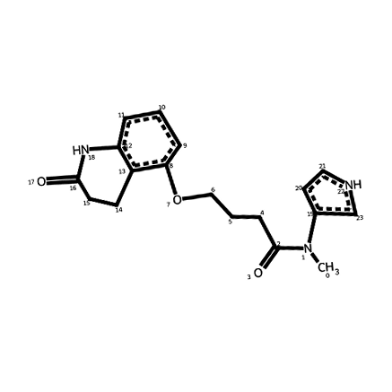 CN(C(=O)CCCOc1cccc2c1CCC(=O)N2)c1cc[nH]c1